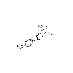 CCC(C)OP(=O)(O)C[PH](=O)OC(C)c1ccc(C(F)(F)F)cc1